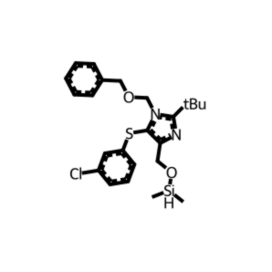 C[SiH](C)OCc1nc(C(C)(C)C)n(COCc2ccccc2)c1Sc1cccc(Cl)c1